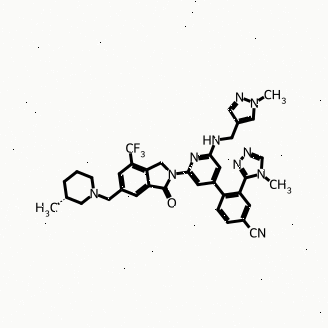 C[C@@H]1CCCN(Cc2cc3c(c(C(F)(F)F)c2)CN(c2cc(-c4ccc(C#N)cc4-c4nncn4C)cc(NCc4cnn(C)c4)n2)C3=O)C1